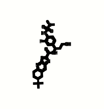 CN(C)S(=O)(=O)Nc1ccc(C(CCO)NC(=O)c2nc3cc4c(nc3s2)CC[C@H](C(C)(C)C)C4)cc1F